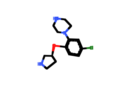 Clc1ccc(O[C@H]2CCNC2)c(N2CCNCC2)c1